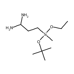 CCO[Si](C)(CCC(N)N)OC(C)(C)C